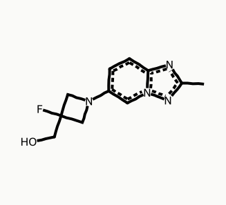 Cc1nc2ccc(N3CC(F)(CO)C3)cn2n1